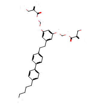 C=C(CO)C(=O)OCOc1cc(CCc2ccc(-c3ccc(CCCCC)cc3)cc2)cc(OCOC(=O)C(=C)CO)c1